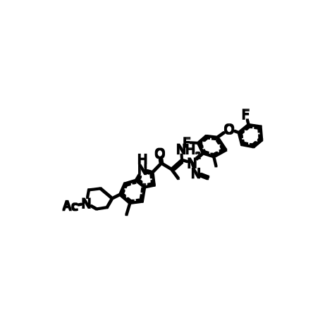 C=NN(/C(N)=C(\C)C(=O)c1cc2cc(C)c(C3CCN(C(C)=O)CC3)cc2[nH]1)c1c(C)cc(Oc2ccccc2F)cc1F